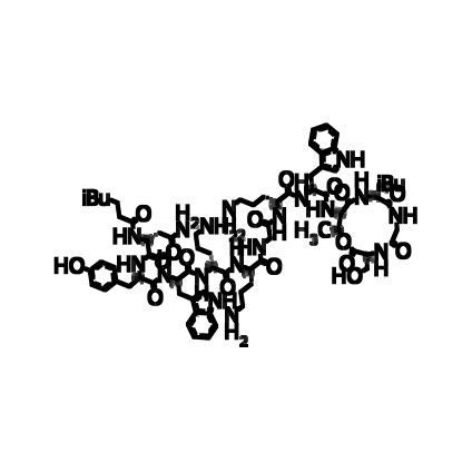 CCC(C)CCC(=O)N[C@H](CC(N)=O)C(=O)N[C@H](Cc1ccc(O)cc1)C(=O)N[C@H](Cc1c[nH]c2ccccc12)C(=O)N[C@H](CCCN)C(=O)N[C@@H](CCCN)C(=O)NCC(=O)N[C@H](CCCN)C(=O)N[C@@H](Cc1c[nH]c2ccccc12)C(=O)N[C@@H]1C(=O)N[C@@H]([C@@H](C)CC)C(=O)NCC(=O)N[C@@H](CO)C(=O)O[C@@H]1C